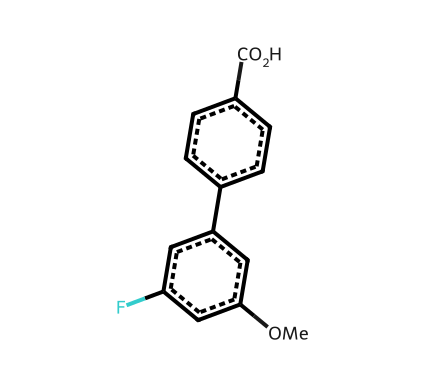 COc1cc(F)cc(-c2ccc(C(=O)O)cc2)c1